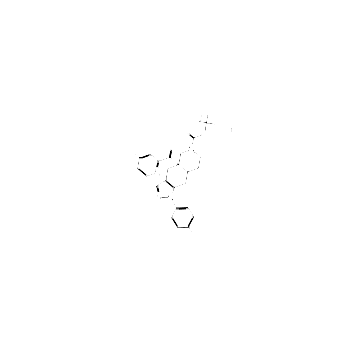 Cc1ccnc(C(=O)[C@]23Cc4cnn(-c5ccc(F)cc5)c4CC2CCN(C(=O)OC(C)(C)C)C3)c1